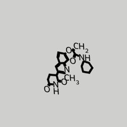 C=C(Oc1ccc2cc(C3CCC(=O)NC3=O)c(C)nc2c1)C(=O)NC1CCCCC1